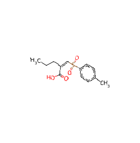 CCCC(=CS(=O)(=O)c1ccc(C)cc1)C(=O)O